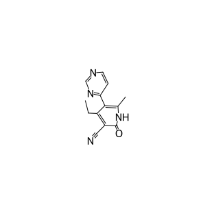 CCc1c(-c2ccncn2)c(C)[nH]c(=O)c1C#N